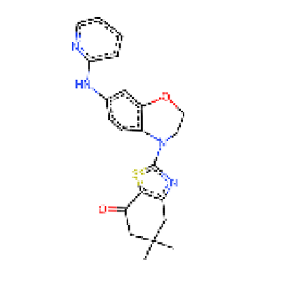 CC1(C)CC(=O)c2sc(N3CCOc4cc(Nc5ccccn5)ccc43)nc2C1